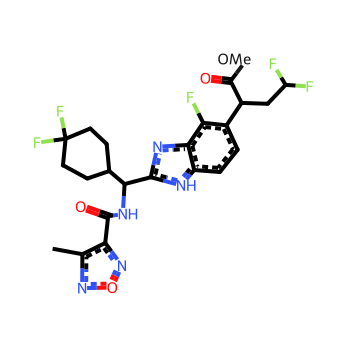 COC(=O)C(CC(F)F)c1ccc2[nH]c(C(NC(=O)c3nonc3C)C3CCC(F)(F)CC3)nc2c1F